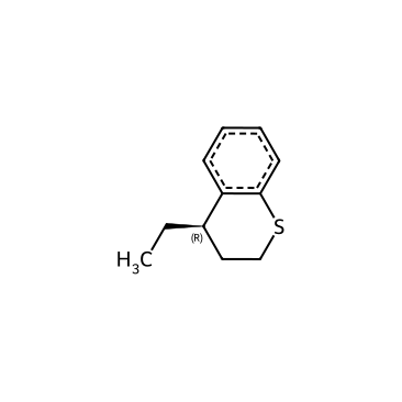 CC[C@@H]1CCSc2ccccc21